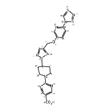 O=C(O)c1cnc(N2CCC(n3ncc(COc4ccc(-n5cnnn5)nc4)n3)CC2)nc1